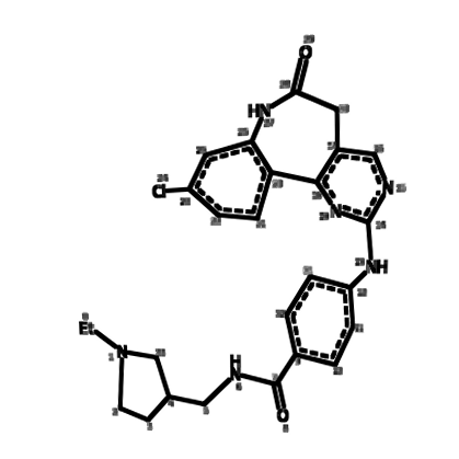 CCN1CCC(CNC(=O)c2ccc(Nc3ncc4c(n3)-c3ccc(Cl)cc3NC(=O)C4)cc2)C1